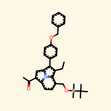 CCc1c(-c2ccc(OCc3ccccc3)cc2)c2cc(C(C)=O)c3ccc(CO[Si](C)(C)C(C)(C)C)c1n32